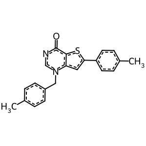 Cc1ccc(Cn2cnc(=O)c3sc(-c4ccc(C)cc4)cc32)cc1